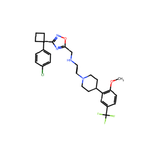 COc1ccc(C(F)(F)F)cc1C1CCN(CCNCc2nc(C3(c4ccc(Cl)cc4)CCC3)no2)CC1